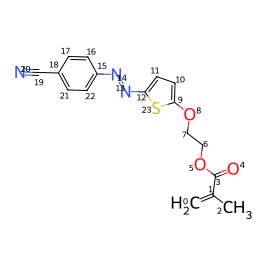 C=C(C)C(=O)OCCOc1ccc(/N=N/c2ccc(C#N)cc2)s1